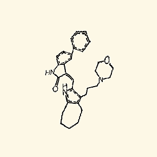 O=C1Nc2ccc(-c3ccccc3)cc2/C1=C/c1[nH]c2c(c1CCCN1CCOCC1)CCCCC2